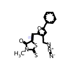 CN1C(=O)/C(=C/c2oc(-c3ccccc3)cc2CN=[N+]=[N-])SC1=S